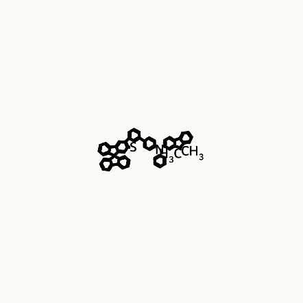 CC1(C)c2ccccc2-c2ccc(N(c3ccccc3)c3ccc(-c4cccc5c4sc4cc6c(cc45)-c4ccccc4C64c5ccccc5-c5ccccc54)cc3)cc21